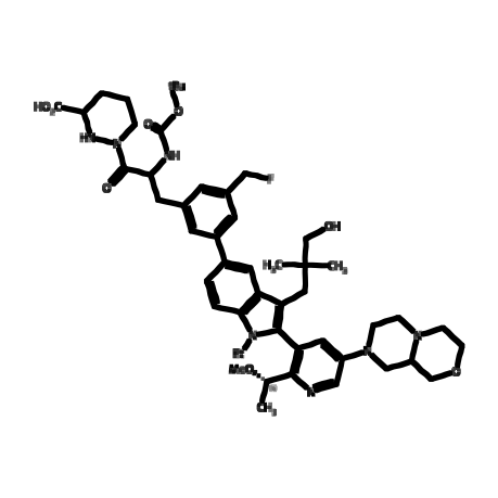 CCn1c(-c2cc(N3CCN4CCOCC4C3)cnc2[C@H](C)OC)c(CC(C)(C)CO)c2cc(-c3cc(CF)cc(CC(NC(=O)OC(C)(C)C)C(=O)N4CCCC(C(=O)O)N4)c3)ccc21